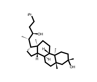 CC(C)CC[C@@H](O)[C@@H](C)[C@H]1CC[C@H]2[C@@H]3CC[C@@]4(C)C[C@@](C)(O)CC[C@]4(C)[C@H]3CC[C@]12C